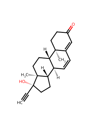 C#C[C@]1(O)CC[C@H]2[C@@H]3C=CC4=CC(=O)CC[C@]4(C)[C@H]3CC[C@@]21C